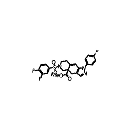 COC(=O)C12Cc3cnn(-c4ccc(F)cc4)c3C=C1CCN(S(=O)(=O)c1ccc(F)c(F)c1)C2